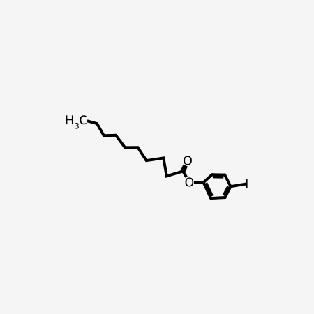 CCCCCCCCCC(=O)Oc1ccc(I)cc1